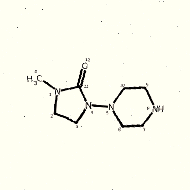 CN1CCN(N2CCNCC2)C1=O